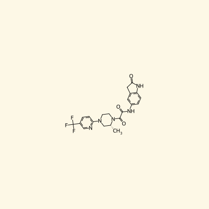 C[C@@H]1CN(c2ccc(C(F)(F)F)cn2)CCN1C(=O)C(=O)Nc1ccc2c(c1)CC(=O)N2